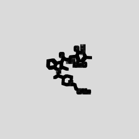 COCCN1CCC(C(C)n2c(C)c(C(=O)NCc3c(OC)cc(C)[nH]c3=O)c3ccccc32)CC1